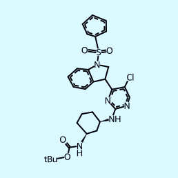 CC(C)(C)OC(=O)N[C@H]1CCC[C@@H](Nc2ncc(Cl)c(C3CN(S(=O)(=O)c4ccccc4)c4ccccc43)n2)C1